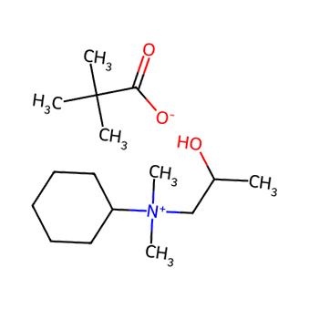 CC(C)(C)C(=O)[O-].CC(O)C[N+](C)(C)C1CCCCC1